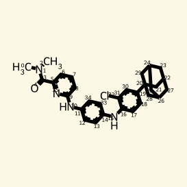 CN(C)C(=O)c1cccc(Nc2ccc(Nc3ccc(C45CC6CC(CC(C6)C4)C5)cc3Cl)cc2)n1